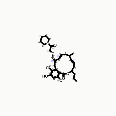 CCCC1C/C=C/C(C)C/C=C/C(=N\OCC(=O)N2CCCCC2)Cc2c(Cl)c(O)cc(O)c2C(=O)O1